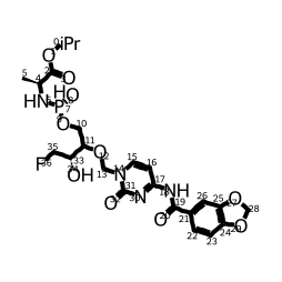 CC(C)OC(=O)[C@H](C)N[PH](=O)OCC(OCn1ccc(NC(=O)c2ccc3c(c2)OCO3)nc1=O)[C@H](O)CF